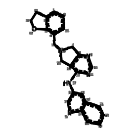 c1cc2c(c(CN3Cc4ncnc(Nc5cnc6ccccc6c5)c4C3)c1)OCC2